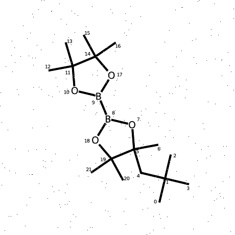 CC(C)(C)CC1(C)OB(B2OC(C)(C)C(C)(C)O2)OC1(C)C